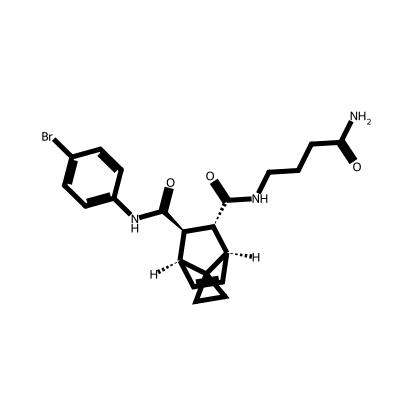 NC(=O)CCCNC(=O)[C@H]1[C@H](C(=O)Nc2ccc(Br)cc2)[C@@H]2C=C[C@H]1C21CC1